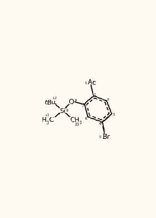 CC(=O)c1ccc(Br)cc1O[Si](C)(C)C(C)(C)C